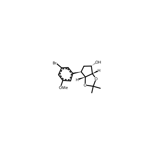 COc1cc(Br)cc([C@H]2C[C@H](O)[C@@H]3OC(C)(C)O[C@@H]32)c1